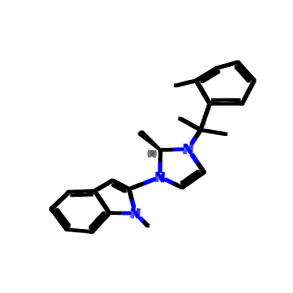 Cc1ccccc1C(C)(C)N1C=CN(c2cc3ccccc3n2C)[C@H]1C